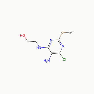 CCCSc1nc(Cl)c(N)c(NCCO)n1